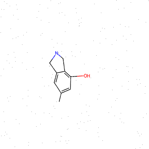 Cc1cc(O)c2c(c1)C[N]C2